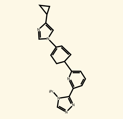 CC(C)n1cnnc1-c1cccc(C2C=CC(n3cnc(C4CC4)c3)=CC2)n1